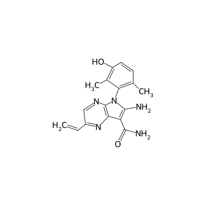 C=Cc1cnc2c(n1)c(C(N)=O)c(N)n2-c1c(C)ccc(O)c1C